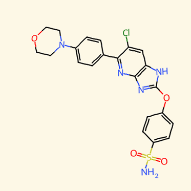 NS(=O)(=O)c1ccc(Oc2nc3nc(-c4ccc(N5CCOCC5)cc4)c(Cl)cc3[nH]2)cc1